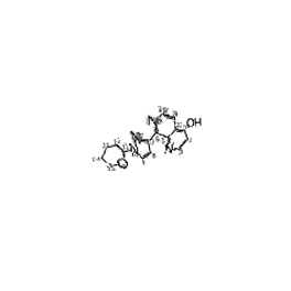 Oc1ccnc2c(-c3ccn(C4CCCCO4)n3)nccc12